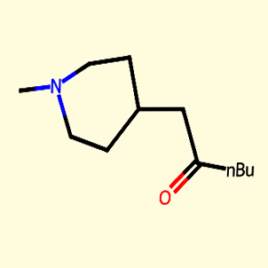 CCCCC(=O)CC1CCN(C)CC1